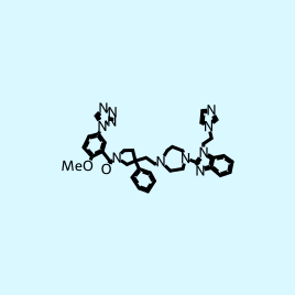 COc1ccc(-n2cnnn2)cc1C(=O)N1CCC(CCN2CCCN(c3nc4ccccc4n3CCn3ccnc3)CC2)(c2ccccc2)C1